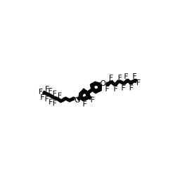 Fc1c(OCCCCC(F)(F)C(F)(F)C(F)(F)C(F)(F)F)ccc(-c2ccc(OC(F)C(F)C(F)C(F)C(F)C(F)C(F)C(F)F)cc2)c1F